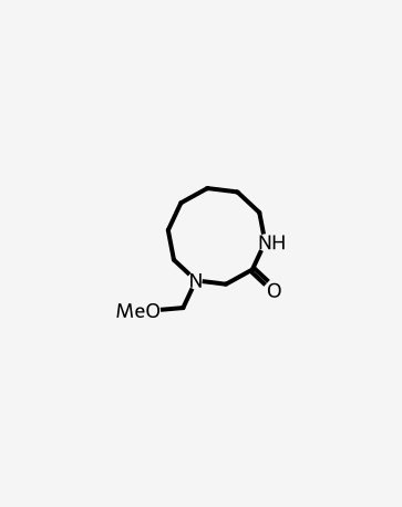 COCN1CCCCCCNC(=O)C1